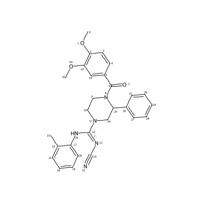 COc1ccc(C(=O)N2CCN(/C(=N/C#N)Nc3ccccc3C)CC2c2ccccc2)cc1OC